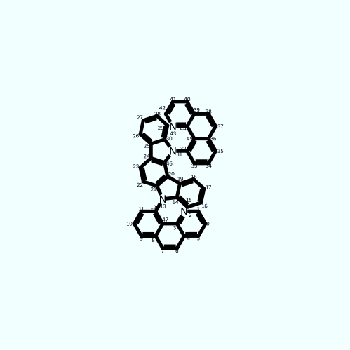 c1cnc2c(c1)ccc1cccc(-n3c4ccccc4c4c3ccc3c5ccccc5n(-c5cccc6ccc7cccnc7c56)c34)c12